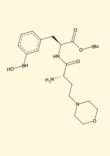 CC(C)(C)OC(=O)[C@H](Cc1cccc(BO)c1)NC(=O)[C@@H](N)CCN1CCOCC1